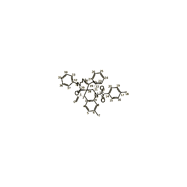 C=C[C@H]1c2ccc(C)cc2N(S(=O)(=O)c2ccc(C)cc2)[C@@H](c2ccccc2)[C@]12C(=O)N(c1ccccc1)N=C2C